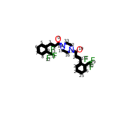 O=C(/C=C/c1ccccc1C(F)(F)F)N1CCN(C(=O)/C=C/c2ccccc2C(F)(F)F)CC1